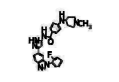 CN1CCC(Nc2ccc(C(=O)Nc3cc(-c4ccc5ncn(-c6ccccc6F)c5c4)n[nH]3)cc2)CC1